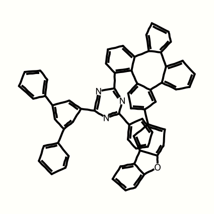 c1ccc(-c2cc(-c3ccccc3)cc(-c3nc(-c4ccccc4)nc(-c4cccc5c4-c4ccc(-c6ccc7oc8ccccc8c7c6)cc4-c4ccccc4-c4ccccc4-5)n3)c2)cc1